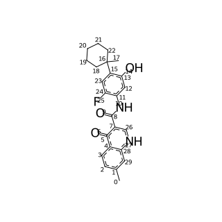 Cc1ccc2c(=O)c(C(=O)Nc3cc(O)c(C4(C)CCCCC4)cc3F)c[nH]c2c1